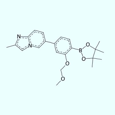 COCOc1cc(-c2ccc3nc(C)cn3c2)ccc1B1OC(C)(C)C(C)(C)O1